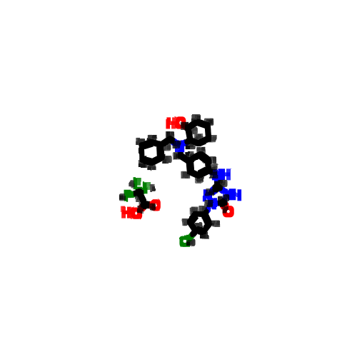 O=C(O)C(F)(F)F.O=c1[nH]c(Nc2ccc(CN(Cc3ccccc3)C3CCCCC3O)cc2)nn1-c1ccc(Cl)cc1